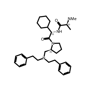 CN[C@@H](C)C(=O)N[C@H](C(=O)N1CCC[C@H]1CN(CCc1ccccc1)CCc1ccccc1)C1CCCCC1